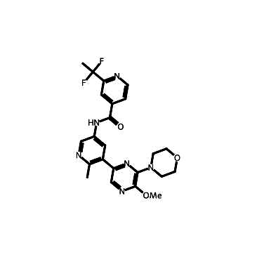 COc1ncc(-c2cc(NC(=O)c3ccnc(C(C)(F)F)c3)cnc2C)nc1N1CCOCC1